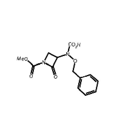 COC(=O)N1CC(N(OCc2ccccc2)C(=O)O)C1=O